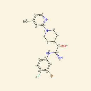 N#Cc1ccnc(N2CCC(C(=O)C(=N)Nc3ccc(F)c(Br)c3)CC2)c1